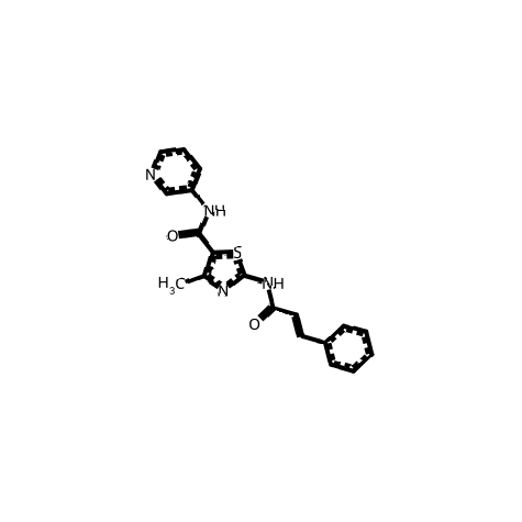 Cc1nc(NC(=O)/C=C/c2ccccc2)sc1C(=O)Nc1cccnc1